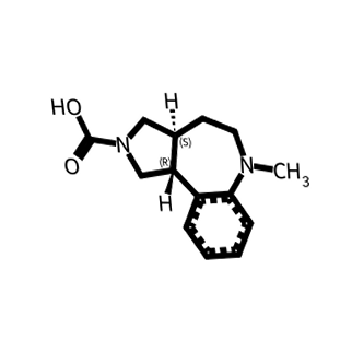 CN1CC[C@@H]2CN(C(=O)O)C[C@H]2c2ccccc21